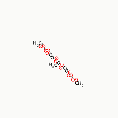 C=CC(=O)OCCOC(=O)Oc1ccc2cc(C(=O)Oc3ccc(OC(=O)c4ccc5cc(OC(=O)OCCOC(=O)C=C)ccc5c4)c(C)c3)ccc2c1